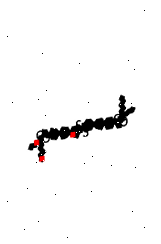 CCCCCCC(CCCC)C(=O)OC(CC)c1ccc(-c2ccc(-c3ccc4c(c3)sc3c5ccc(-c6ccc(-c7ccc(C(CC)OC(=O)C(CCCC)CCCCCC)cc7)cc6)cc5sc43)cc2)cc1